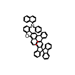 c1ccc(N(c2cccc3ccccc23)c2cccc3oc4c5ccccc5c(-c5ccccc5-c5ccc6c(c5)C5(c7ccccc7-c7ccccc75)c5ccccc5-6)cc4c23)cc1